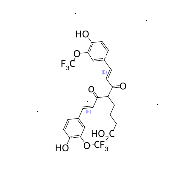 O=C(O)CCCC(C(=O)/C=C/c1ccc(O)c(OC(F)(F)F)c1)C(=O)/C=C/c1ccc(O)c(OC(F)(F)F)c1